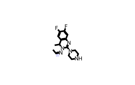 C/C=N\N1C(N2CCNCC2)=Nc2cc(F)c(F)cc2C1C